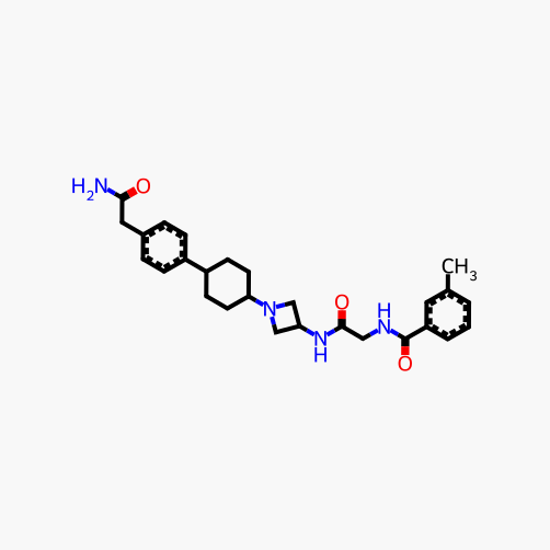 Cc1cccc(C(=O)NCC(=O)NC2CN(C3CCC(c4ccc(CC(N)=O)cc4)CC3)C2)c1